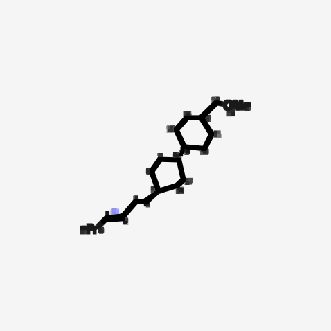 CCC/C=C/CC[C@H]1CC[C@H](C2CCC(COC)CC2)CC1